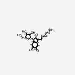 NSCN/N=C/c1c(Cl)n([C@@H]2O[C@H](CO)C(O)C2O)c2cc(Cl)c(Cl)cc12